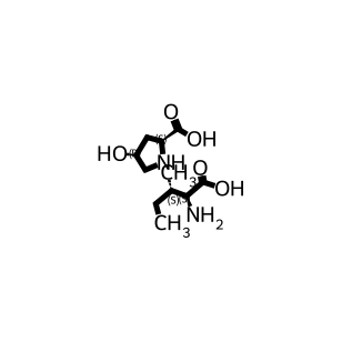 CC[C@H](C)[C@H](N)C(=O)O.O=C(O)[C@@H]1C[C@@H](O)CN1